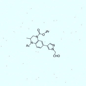 CC(=O)N1c2ccc(-c3cnn(CC=O)c3)cc2N(C(=O)OC(C)C)CC1C